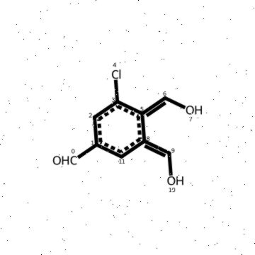 O=Cc1cc(Cl)c(=CO)c(=CO)c1